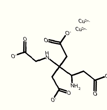 NC(CC(=O)[O-])C(CC(=O)[O-])(CC(=O)[O-])NCC(=O)[O-].[Cu+2].[Cu+2]